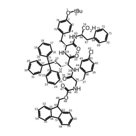 CC(C)(C)Oc1ccc(C[C@H](NC(=O)[C@@H](CSC(c2ccccc2)(c2ccccc2)c2ccccc2)NC(=O)[C@H](Cc2ccc(Cl)cc2)NC(=O)OCC2c3ccccc3-c3ccccc32)C(=O)N[C@H](Cc2ccccc2)C(=O)O)cc1